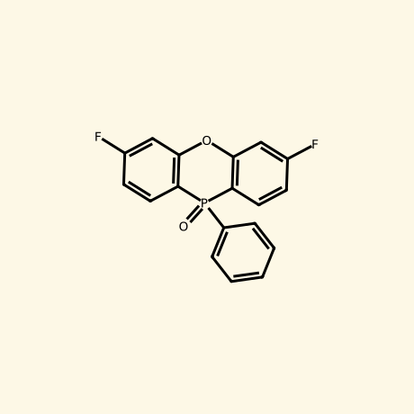 O=P1(c2ccccc2)c2ccc(F)cc2Oc2cc(F)ccc21